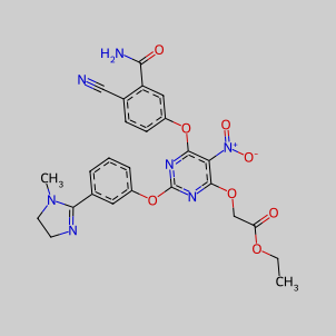 CCOC(=O)COc1nc(Oc2cccc(C3=NCCN3C)c2)nc(Oc2ccc(C#N)c(C(N)=O)c2)c1[N+](=O)[O-]